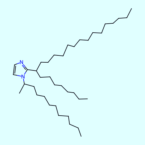 CCCCCCCCCCCCCCCC(CCCCCCCC)c1nccn1C(C)CCCCCCCCCC